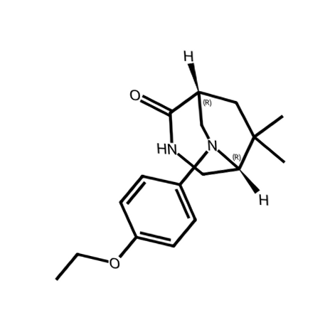 CCOc1ccc(N2C[C@H]3CC(C)(C)[C@@H]2CNC3=O)cc1